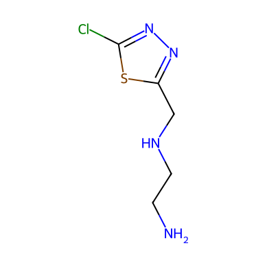 NCCNCc1nnc(Cl)s1